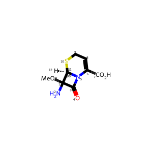 COC1(N)C(=O)N2C(C(=O)O)=CCS[C@@H]21